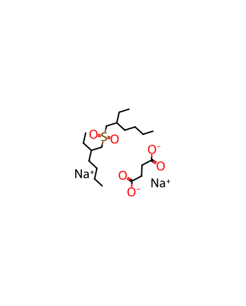 CCCCC(CC)CS(=O)(=O)CC(CC)CCCC.O=C([O-])CCC(=O)[O-].[Na+].[Na+]